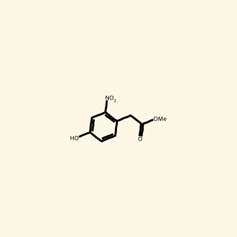 COC(=O)Cc1ccc(O)cc1[N+](=O)[O-]